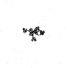 N#Cc1cccc(-c2nc(-c3cccc(-n4c5ccccc5c5cc(-c6ccc7c(c6)c6ccccc6n7-c6ccccc6)ccc54)c3)cc(-c3cc(-n4c5ccccc5c5cc(-c6ccc7c(c6)c6ccccc6n7-c6ccccc6)ccc54)cc(-n4c5ccccc5c5cc(-c6ccc7c(c6)c6ccccc6n7-c6ccccc6)ccc54)c3)n2)c1